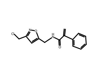 C=C(C(=O)NCc1cc(CCl)no1)c1ccccc1